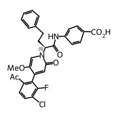 COc1cn([C@@H](CCc2ccccc2)C(=O)Nc2ccc(C(=O)O)cc2)c(=O)cc1-c1c(C(C)=O)ccc(Cl)c1F